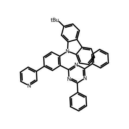 CC(C)(C)c1ccc2c3ccccc3n(-c3ccc(-c4cccnc4)cc3-c3nc(-c4ccccc4)nc(-c4ccccc4)n3)c2c1